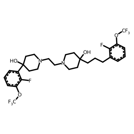 OC1(CCCc2cccc(OC(F)(F)F)c2F)CCN(CCN2CCC(O)(c3cccc(OC(F)(F)F)c3F)CC2)CC1